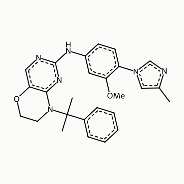 COc1cc(Nc2ncc3c(n2)N(C(C)(C)c2ccccc2)CCO3)ccc1-n1cnc(C)c1